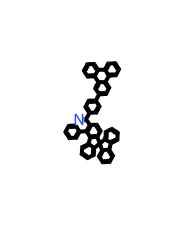 c1ccc2c(c1)-c1ccccc1C21c2ccccc2-c2c1ccc1c(-c3ccc(-c4ccc5c6ccccc6c6ccccc6c5c4)cc3)nc3ccccc3c21